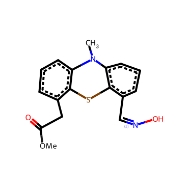 COC(=O)Cc1cccc2c1Sc1c(/C=N\O)cccc1N2C